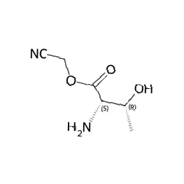 C[C@@H](O)[C@H](N)C(=O)OCC#N